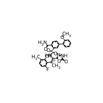 COc1ccccc1-c1ccc(C(N)=O)c(S(=O)(=O)N[C@H](c2n[nH]c(=O)o2)[C@H](C)c2c(F)ccc(C)c2C)c1